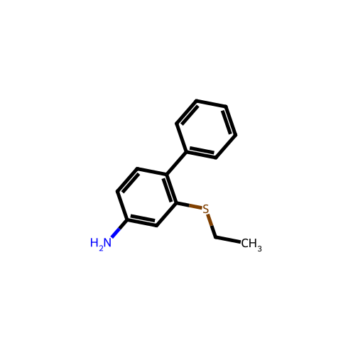 CCSc1cc(N)ccc1-c1ccccc1